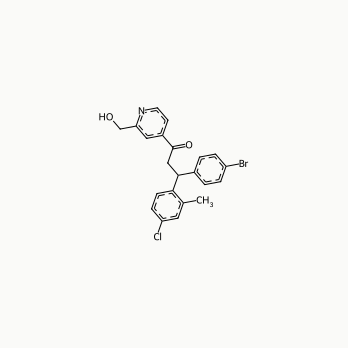 Cc1cc(Cl)ccc1C(CC(=O)c1ccnc(CO)c1)c1ccc(Br)cc1